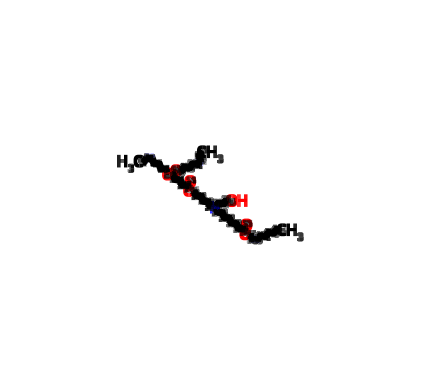 CC/C=C\CCCCOC(CCCC(=O)OCCCCCCN(CCCO)CCCCCCCC(=O)OC/C=C\CCCCCC)OCCCC/C=C\CC